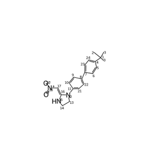 CC(C)(C)c1ccc(-c2ccc(N3CCNC3=C[N+](=O)[O-])cc2)cc1